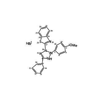 Br.COc1ccc(N2NC(c3ccccc3)=NN2c2nc3ccccc3s2)cc1